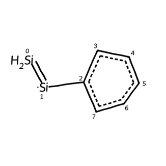 [SiH2]=[Si]c1ccccc1